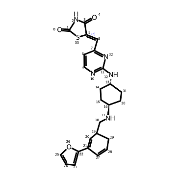 O=C1NC(=O)/C(=C/c2ccnc(N[C@H]3CC[C@H](NCC4C=C(c5ccco5)C=CC4)CC3)n2)S1